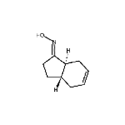 ON=C1CC[C@H]2CC=CC[C@H]12